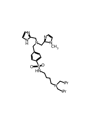 CC(C)CN(CCCCNS(=O)(=O)c1ccc(CN(Cc2ncc[nH]2)Cc2nccn2C)cc1)CC(C)C